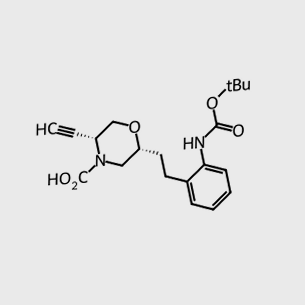 C#C[C@@H]1CO[C@H](CCc2ccccc2NC(=O)OC(C)(C)C)CN1C(=O)O